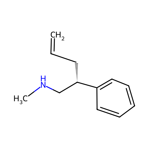 C=CC[C@@H](CNC)c1ccccc1